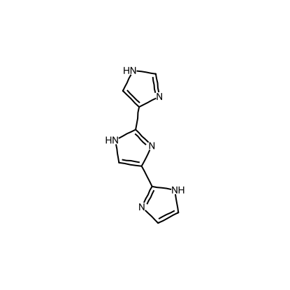 c1c[nH]c(-c2c[nH]c(-c3c[nH]cn3)n2)n1